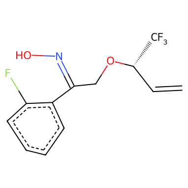 C=C[C@H](OC/C(=N/O)c1ccccc1F)C(F)(F)F